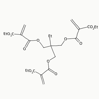 C=C(C(=O)OCC)C(=O)OCC(CC)(COC(=O)C(=C)C(=O)OCC)COC(=O)C(=C)C(=O)OCC